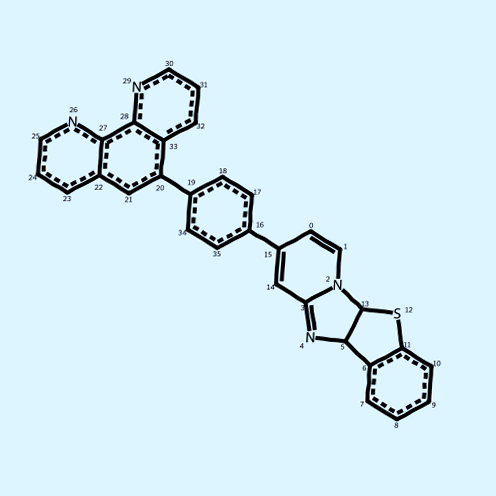 C1=CN2C(=NC3c4ccccc4SC32)C=C1c1ccc(-c2cc3cccnc3c3ncccc23)cc1